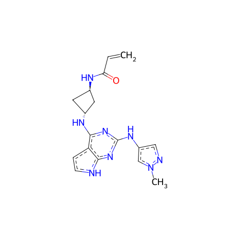 C=CC(=O)N[C@H]1C[C@H](Nc2nc(Nc3cnn(C)c3)nc3[nH]ccc23)C1